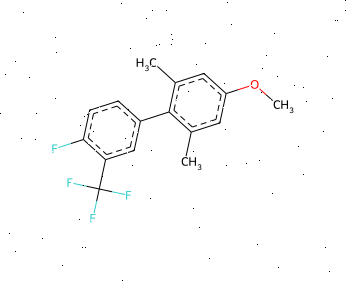 COc1cc(C)c(-c2ccc(F)c(C(F)(F)F)c2)c(C)c1